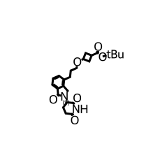 CC(C)(C)OC(=O)C1CC(OCCCc2cccc3c2CN([C@H]2CCC(=O)NC2=O)C3=O)C1